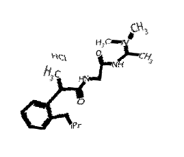 CC(C)Cc1ccccc1C(C)C(=O)NCC(=O)NC(C)N(C)C.Cl